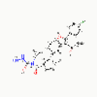 CNC(=O)c1c(-c2ccc(F)cc2)oc2ccc(-c3cc(C(=O)N(C(=O)NN)C4CC4)ccc3C)cc12